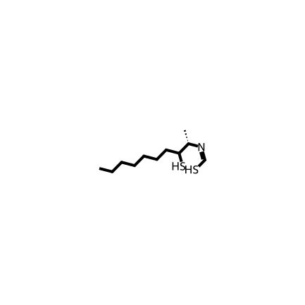 CCCCCCCC(S)[C@H](C)/N=C\S